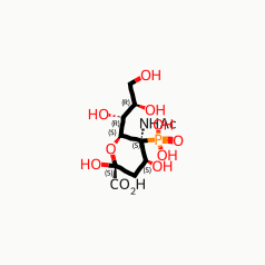 CC(=O)N[C@]1(P(=O)(O)O)[C@@H](O)C[C@@](O)(C(=O)O)O[C@H]1[C@H](O)[C@H](O)CO